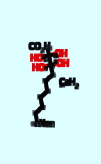 CCCCCCCCCCCCCCCC(O)(O)C(O)(O)C(=O)O.[CaH2]